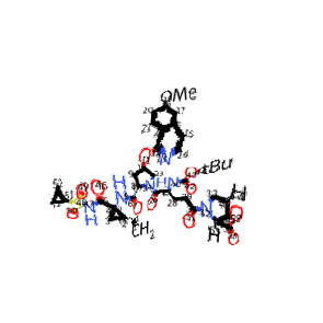 C=C[C@@H]1C[C@]1(NC(=O)[C@@H]1CC(Oc2nccc3cc(OC)ccc23)CN1C(=O)[C@H](CCC(=O)N1C[C@@H]2C[C@H]1C(=O)O2)NC(=O)OC(C)(C)C)C(=O)NS(=O)(=O)C1CC1